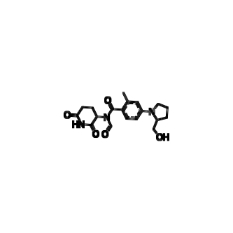 Cc1cc(N2CCCC2CO)ccc1C(=O)N(C=O)C1CCC(=O)NC1=O